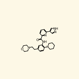 O=C(Nc1cc(CCN2CCOCC2)ccc1N1CCCCC1)c1cccc(-c2cn[nH]c2)n1